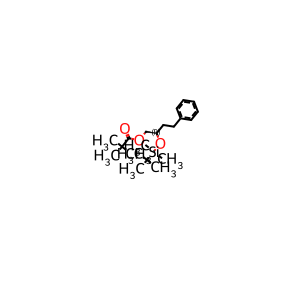 CC(C)(C)C(=O)OC[C@@H](CCc1ccccc1)O[Si](C)(C)C(C)(C)C